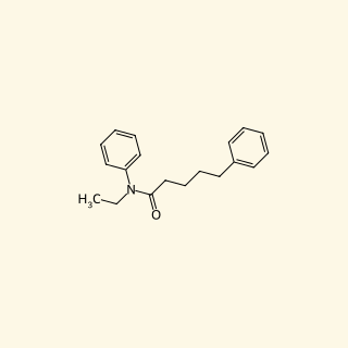 CCN(C(=O)CCCCc1ccccc1)c1ccccc1